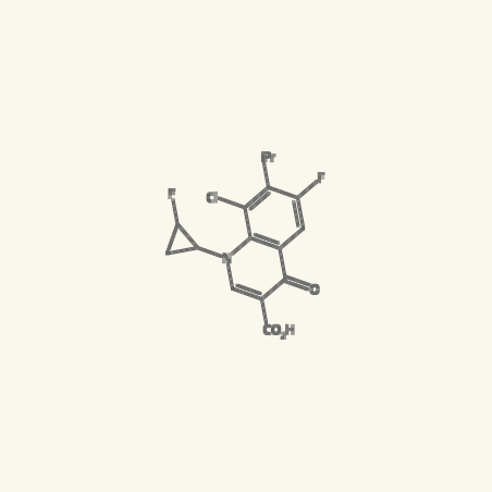 CC(C)c1c(F)cc2c(=O)c(C(=O)O)cn(C3CC3F)c2c1Cl